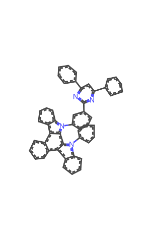 c1ccc(-c2cc(-c3ccccc3)nc(-c3cccc(-n4c5ccccc5c5c6ccccc6c6c7ccccc7n(-c7ccccc7)c6c54)c3)n2)cc1